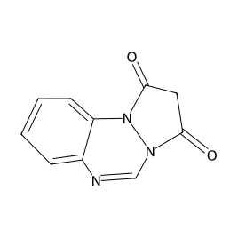 O=C1CC(=O)N2c3ccccc3N=CN12